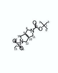 CC(C)(C)OC(=O)N1CC2=C(C1)CN(S(C)(=O)=O)C2